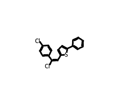 Cl/C(=C/c1ccc(-c2ccccc2)s1)c1ccc(Cl)cc1